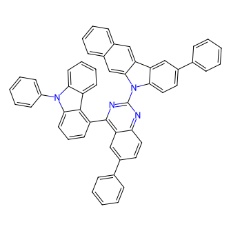 c1ccc(-c2ccc3nc(-n4c5ccc(-c6ccccc6)cc5c5cc6ccccc6cc54)nc(-c4cccc5c4c4ccccc4n5-c4ccccc4)c3c2)cc1